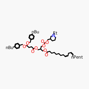 CCCCC/C=C\C/C=C\CCCCCCCC(=O)OCC(COC(=O)CCC(OCc1ccc(CCCC)cc1)OCc1ccc(CCCC)cc1)COC(=O)OCC1CCCN(CC)C1